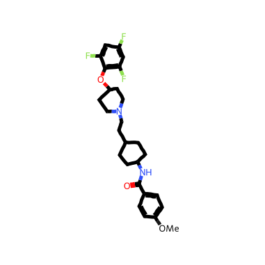 COc1ccc(C(=O)NC2CCC(CCN3CCC(Oc4c(F)cc(F)cc4F)CC3)CC2)cc1